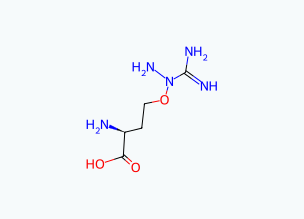 N=C(N)N(N)OCC[C@H](N)C(=O)O